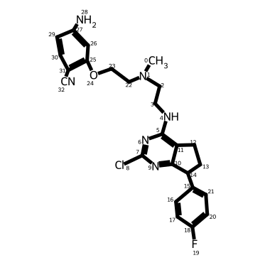 CN(CCNc1nc(Cl)nc2c1CCC2c1ccc(F)cc1)CCOc1cc(N)ccc1C#N